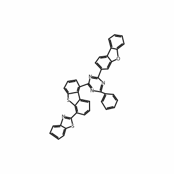 c1ccc(-c2nc(-c3ccc4c(c3)oc3ccccc34)nc(-c3cccc4sc5c(-c6nc7ccccc7s6)cccc5c34)n2)cc1